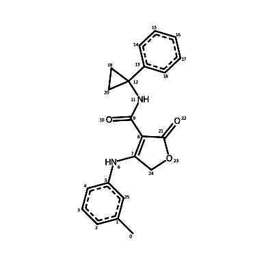 Cc1cccc(NC2=C(C(=O)NC3(c4ccccc4)CC3)C(=O)OC2)c1